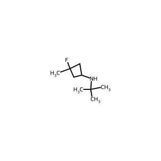 CC1(F)CC(NC(C)(C)C)C1